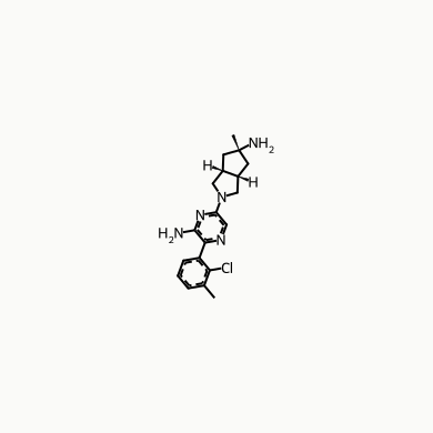 Cc1cccc(-c2ncc(N3C[C@@H]4C[C@](C)(N)C[C@@H]4C3)nc2N)c1Cl